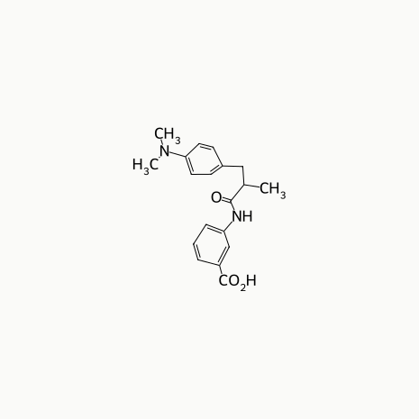 CC(Cc1ccc(N(C)C)cc1)C(=O)Nc1cccc(C(=O)O)c1